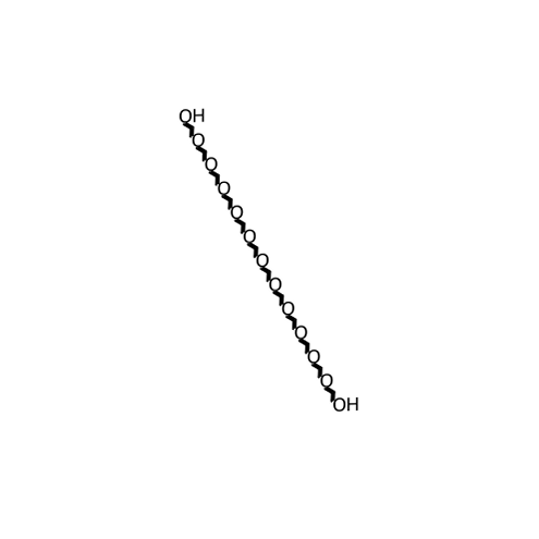 OCCCOCCCOCCCOCCCOCCCOCCCOCCCOCCCOCCCOCCCOCCCOCCCO